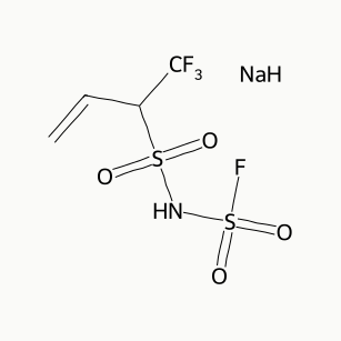 C=CC(C(F)(F)F)S(=O)(=O)NS(=O)(=O)F.[NaH]